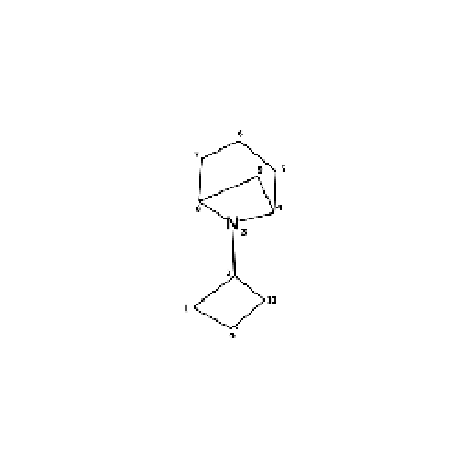 [CH]1CC(N2C3CCCC2C3)C1